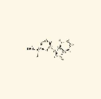 CCCCP(C)c1cccc(-n2nnc3ccccc32)c1